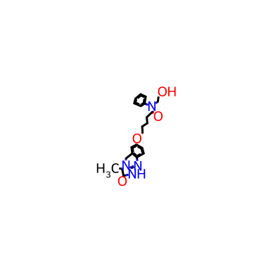 CC1C(=O)NC2=Nc3ccc(OCCCCC(=O)N(CCO)c4ccccc4)cc3CN21